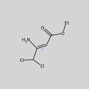 CCOC(=O)/C=C(\N)C(Cl)Cl